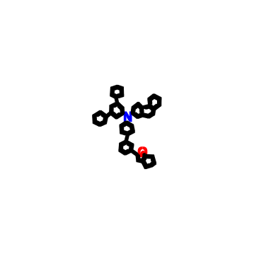 c1ccc(-c2cc(-c3ccccc3)cc(N(c3ccc(-c4cccc(-c5cc6ccccc6o5)c4)cc3)c3ccc4c(ccc5ccccc54)c3)c2)cc1